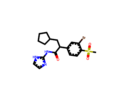 CS(=O)(=O)c1ccc(C(CC2CCCC2)C(=O)Nc2ncc[nH]2)cc1Br